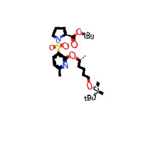 Cc1ccc(S(=O)(=O)N2CCC[C@H]2C(=O)OC(C)(C)C)c(O[C@H](C)CCCCO[Si](C)(C)C(C)(C)C)n1